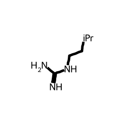 CC(C)CCNC(=N)N